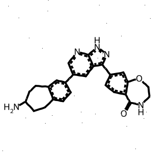 NC1CCc2ccc(-c3cnc4[nH]nc(-c5ccc6c(c5)OCCNC6=O)c4c3)cc2CC1